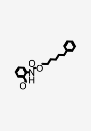 O=[C]c1ccccc1NC(=O)OCCCCCCc1ccccc1